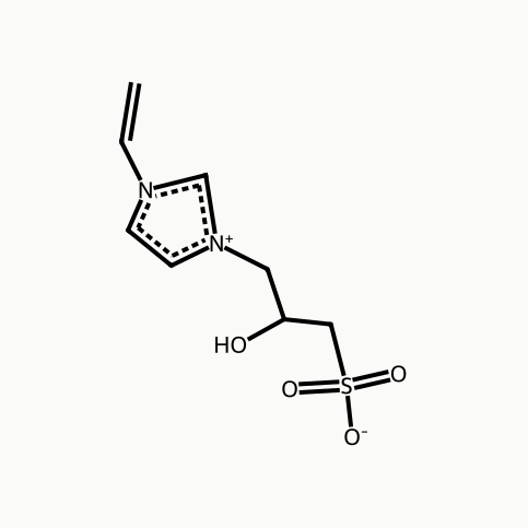 C=Cn1cc[n+](CC(O)CS(=O)(=O)[O-])c1